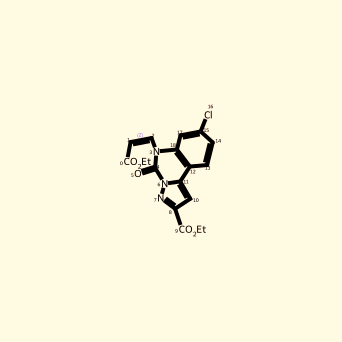 CCOC(=O)/C=C\n1c(=O)n2nc(C(=O)OCC)cc2c2ccc(Cl)cc21